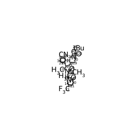 CC(NC(=O)C(C)(C)Oc1ccc(C(F)(F)F)cn1)C(CC1CCN(C(=O)OC(C)(C)C)CC1)c1cccc(C#N)c1